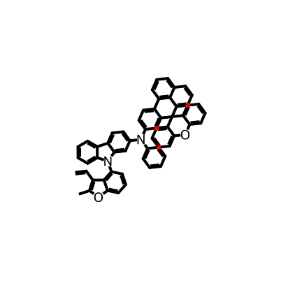 C=Cc1c(C)oc2cccc(-n3c4ccccc4c4ccc(N(c5ccccc5)c5ccc6c(c5)C5(c7ccccc7Oc7ccccc75)c5cccc7cccc-6c57)cc43)c12